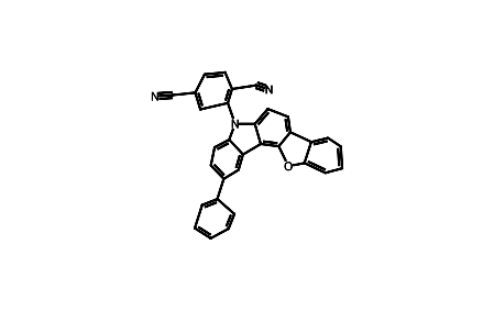 N#Cc1ccc(C#N)c(-n2c3ccc(-c4ccccc4)cc3c3c4oc5ccccc5c4ccc32)c1